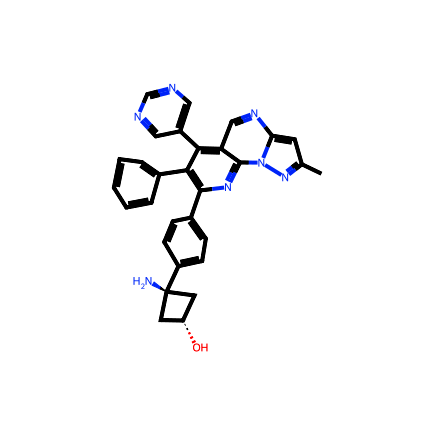 Cc1cc2ncc3c(-c4cncnc4)c(-c4ccccc4)c(-c4ccc([C@]5(N)C[C@H](O)C5)cc4)nc3n2n1